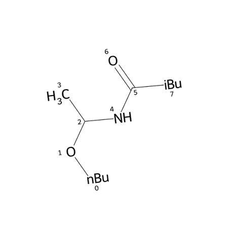 CCCCOC(C)NC(=O)C(C)CC